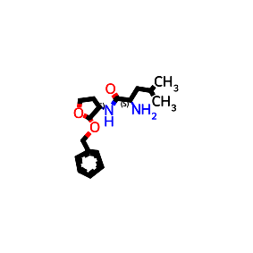 CC(C)C[C@H](N)C(=O)N[C@H]1CCOC1OCc1ccccc1